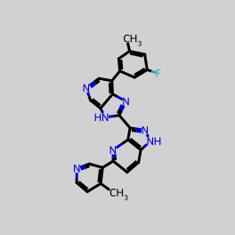 Cc1cc(F)cc(-c2cncc3[nH]c(-c4n[nH]c5ccc(-c6cnccc6C)nc45)nc23)c1